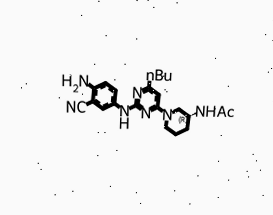 CCCCc1cc(N2CCC[C@@H](NC(C)=O)C2)nc(Nc2ccc(N)c(C#N)c2)n1